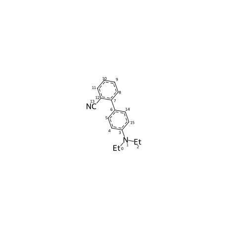 CCN(CC)c1ccc(-c2ccccc2C#N)cc1